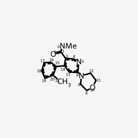 CNC(=O)c1cnc(N2CCOCC2)cc1-c1ccccc1C